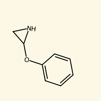 c1ccc(OC2CN2)cc1